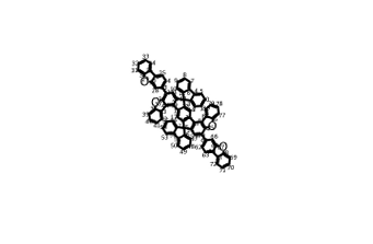 c1ccc2c(c1)-c1ccccc1C21c2cc3c(cc2-c2c1cc(-c1ccc4c(c1)oc1ccccc14)c1oc4ccccc4c21)C1(c2ccccc2-c2ccccc21)c1cc(-c2ccc4c(c2)oc2ccccc24)c2oc4ccccc4c2c1-3